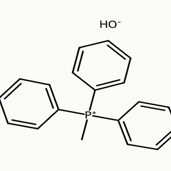 C[P+](c1ccccc1)(c1ccccc1)c1ccccc1.[OH-]